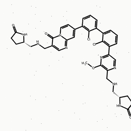 COc1nc(-c2cccc(-c3cccc(-c4ccn5c(=O)c(CNC[C@@H]6CCC(=O)N6)cnc5c4)c3Cl)c2Cl)cnc1CNC[C@@H]1CCC(=O)N1